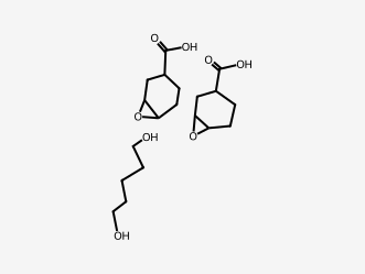 O=C(O)C1CCC2OC2C1.O=C(O)C1CCC2OC2C1.OCCCCCO